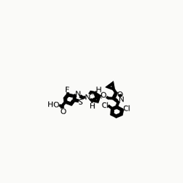 O=C(O)c1cc(F)c2nc(N3C[C@H]4C[C@@H]3C[C@@H]4OCc3c(-c4c(Cl)cccc4Cl)noc3C3CC3)sc2c1